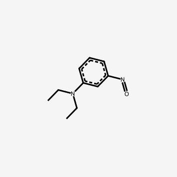 CCN(CC)c1cccc(N=O)c1